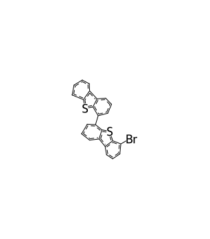 Brc1cccc2c1sc1c(-c3cccc4c3sc3ccccc34)cccc12